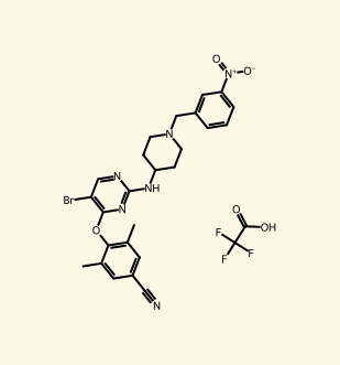 Cc1cc(C#N)cc(C)c1Oc1nc(NC2CCN(Cc3cccc([N+](=O)[O-])c3)CC2)ncc1Br.O=C(O)C(F)(F)F